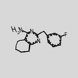 Nc1nc(Cc2cccc(F)c2)nc2c1CCCC2